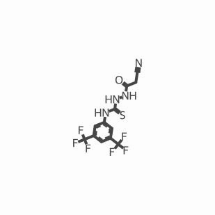 N#CCC(=O)NNC(=S)Nc1cc(C(F)(F)F)cc(C(F)(F)F)c1